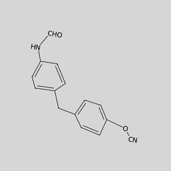 N#COc1ccc(Cc2ccc(NC=O)cc2)cc1